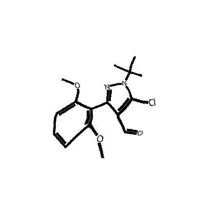 COc1cccc(OC)c1-c1nn(C(C)(C)C)c(Cl)c1C=O